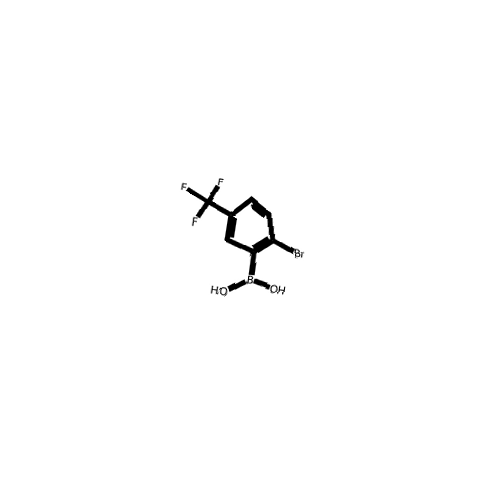 OB(O)c1cc(C(F)(F)F)ccc1Br